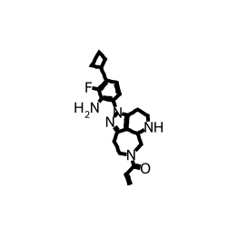 C=CC(=O)N1CCc2nn(-c3ccc(C4CCC4)c(F)c3N)c3c2C(C1)NCC3